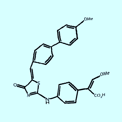 COC=C(C(=O)O)c1ccc(NC2=NC(=O)C(=Cc3ccc(-c4ccc(OC)cc4)cc3)S2)cc1